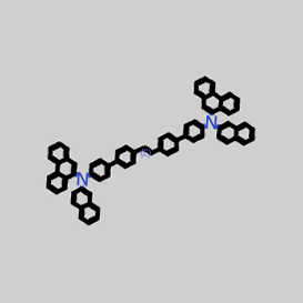 C(=C\c1ccc(-c2ccc(N(c3ccc4ccccc4c3)c3cc4ccccc4c4ccccc34)cc2)cc1)/c1ccc(-c2ccc(N(c3ccc4ccccc4c3)c3cc4ccccc4c4ccccc34)cc2)cc1